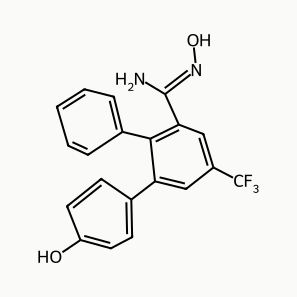 N/C(=N\O)c1cc(C(F)(F)F)cc(-c2ccc(O)cc2)c1-c1ccccc1